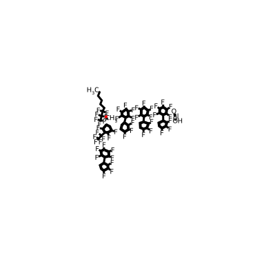 CCCCCCC(F)(F)C(F)(F)C(F)(F)P(C)c1cc(F)c(F)c(C(F)(F)C(F)(F)F)c1F.Fc1ccc(-c2c(F)c(F)c(F)c(F)c2F)c(F)c1F.Fc1ccc(-c2c(F)c(F)c(F)c(F)c2F)c(F)c1F.Fc1ccc(-c2c(F)c(F)c(F)c(F)c2F)c(F)c1F.Fc1ccc(-c2c(F)c(F)c(F)c(F)c2F)c(F)c1F.[O]=[Al][OH]